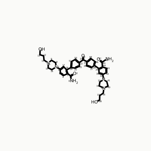 NC(=O)c1ccc(N2CCN(CCCO)CC2)cc1-c1ccc(C(=O)c2ccc(-c3cc(N4CCN(CCCO)CC4)ccc3C(N)=O)cc2)cc1